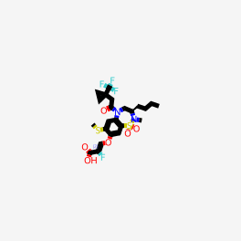 CCCC[C@@H]1CN(C(=O)CC2(C(F)(F)F)CC2)c2cc(SC)c(O/C=C(\F)C(=O)O)cc2S(=O)(=O)N1C